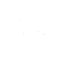 CC(C)c1cc(F)cc(-c2ccncc2)c1Oc1nc(S(=O)(=O)N2CCC(CN(C)C)C2)nn1COCC[Si](C)(C)C